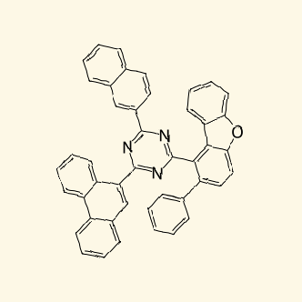 c1ccc(-c2ccc3oc4ccccc4c3c2-c2nc(-c3ccc4ccccc4c3)nc(-c3cc4ccccc4c4ccccc34)n2)cc1